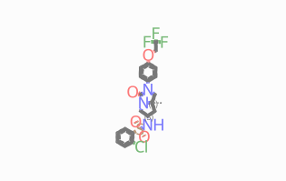 C[C@]12C[C@H](NS(=O)(=O)c3ccccc3Cl)CN1C(=O)N(c1ccc(OCC(F)(F)F)cc1)C2